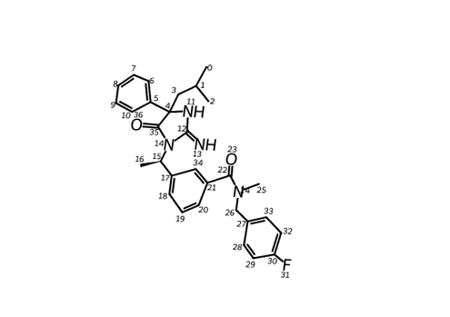 CC(C)CC1(c2ccccc2)NC(=N)N([C@H](C)c2cccc(C(=O)N(C)Cc3ccc(F)cc3)c2)C1=O